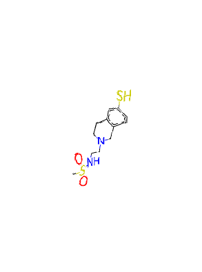 CS(=O)(=O)NCCN1CCc2cc(S)ccc2C1